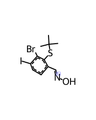 CC(C)(C)Sc1c(/C=N/O)ccc(I)c1Br